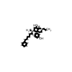 C=CCN1CC[C@@]2(c3cccc(O)c3)C[C@@H](N(C)C(=O)CCCCCc3ccccc3)CC(O)[C@@H]2C1